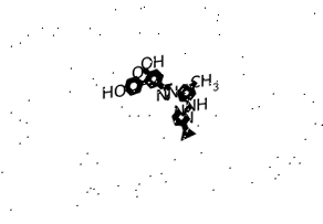 Cc1cc(Nc2nccc(C3CC3)n2)cc(-n2cnc(-c3ccc(C(=O)O)c(C4CCC(O)CC4)c3)c2)c1